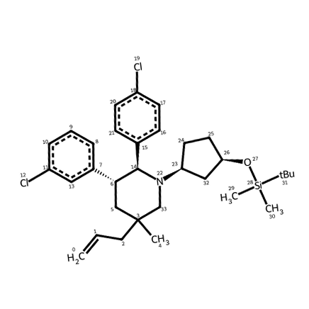 C=CCC1(C)C[C@H](c2cccc(Cl)c2)[C@@H](c2ccc(Cl)cc2)N([C@H]2CC[C@@H](O[Si](C)(C)C(C)(C)C)C2)C1